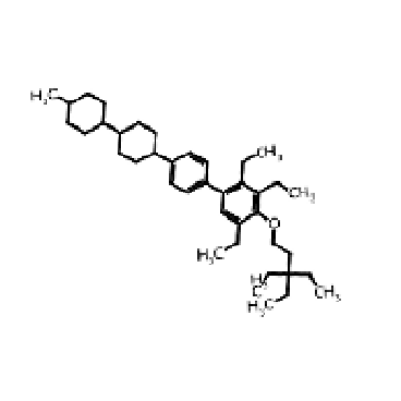 CCc1cc(-c2ccc(C3CCC(C4CCC(C)CC4)CC3)cc2)c(CC)c(CC)c1OCCC(CC)(CC)CC